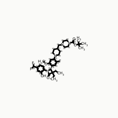 CCC1(CC)C(=O)N(c2ccc(C(F)F)cc2O)[C@H]1c1cc(F)c(N2CCC(CN3CCN(C(=O)OC(C)(C)C)CC3)CC2)cc1OC